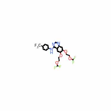 FC(F)OCCOc1cc2ncnc(Nc3ccc(C(F)(F)F)cc3)c2cc1OCCOC(F)F